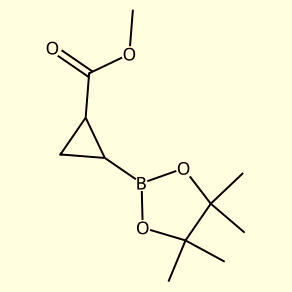 COC(=O)C1CC1B1OC(C)(C)C(C)(C)O1